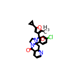 Cc1oc(C2CC2)cc1C(=O)N1CCN2C(=O)c3cccnc3CC21c1ccc(Cl)cc1